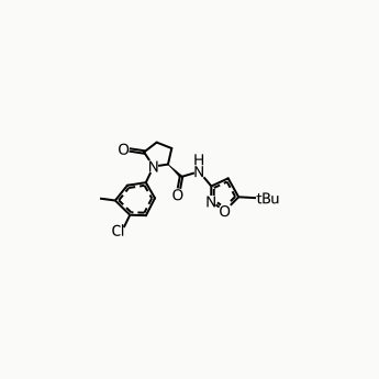 Cc1cc(N2C(=O)CC[C@H]2C(=O)Nc2cc(C(C)(C)C)on2)ccc1Cl